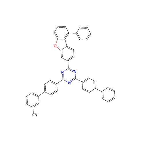 N#Cc1cccc(-c2ccc(-c3nc(-c4ccc(-c5ccccc5)cc4)nc(-c4ccc5c(c4)oc4cccc(-c6ccccc6)c45)n3)cc2)c1